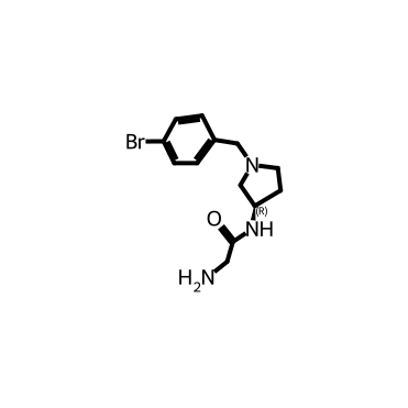 NCC(=O)N[C@@H]1CCN(Cc2ccc(Br)cc2)C1